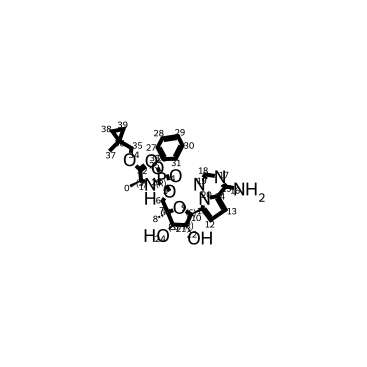 C[C@H](N[P@@](=O)(OC[C@@]1(C)O[C@@H](c2ccc3c(N)ncnn23)[C@H](O)[C@@H]1O)Oc1ccccc1)C(=O)OCC1(C)CC1